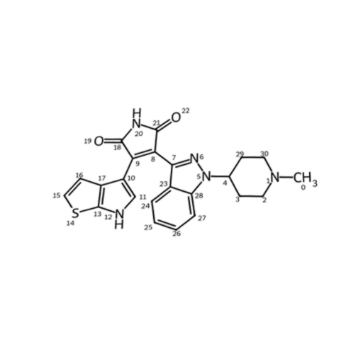 CN1CCC(n2nc(C3=C(c4c[nH]c5sccc45)C(=O)NC3=O)c3ccccc32)CC1